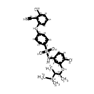 CC([C@H](C)Oc1cc(NS(=O)(=O)c2ccc(Oc3cccc(Cl)c3C#N)cc2)ccc1Cl)N(C)C